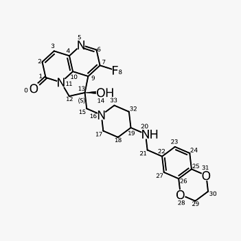 O=c1ccc2ncc(F)c3c2n1C[C@@]3(O)CN1CCC(NCc2ccc3c(c2)OCCO3)CC1